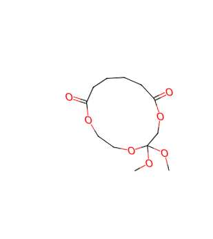 COC1(OC)COC(=O)CCCCC(=O)OCCO1